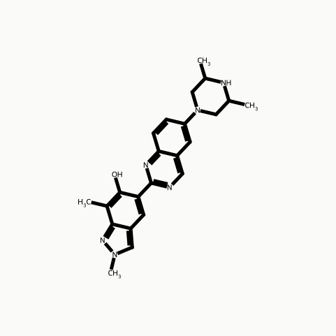 Cc1c(O)c(-c2ncc3cc(N4CC(C)NC(C)C4)ccc3n2)cc2cn(C)nc12